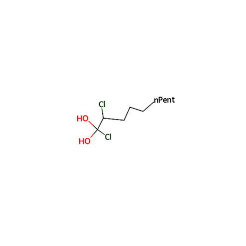 CCCCCCCCC(Cl)C(O)(O)Cl